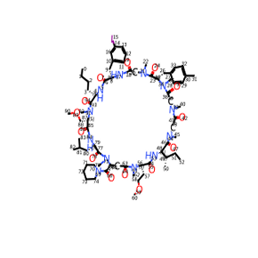 CCCC[C@@H]1NC(=O)[C@H](Cc2cccc(I)c2)NC(=O)CN(C)C(=O)[C@H](Cc2ccc(C)cc2)N(C)C(=O)CN(C)C(=O)CN(C)C(=O)[C@H]([C@@H](C)CC)NC(=O)[C@H](CCOC)N(C)C(=O)C[C@@H](C(=O)N2CCCCC2)N(C)C(=O)[C@H](CC(C)C)NC(=O)[C@H](COC)N(C)C1=O